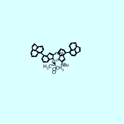 CCCCC1=Cc2c(-c3ccc4c5c(cccc35)C=C4)cccc2[CH]1[Zr+2]([CH]1C(CCCC)=Cc2c(-c3ccc4c5c(cccc35)C=C4)cccc21)=[Si](C)C.[Cl-].[Cl-]